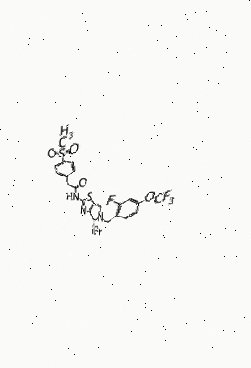 CC(C)[C@@H]1c2nc(NC(=O)Cc3ccc(S(C)(=O)=O)cc3)sc2CN1Cc1ccc(OC(F)(F)F)cc1F